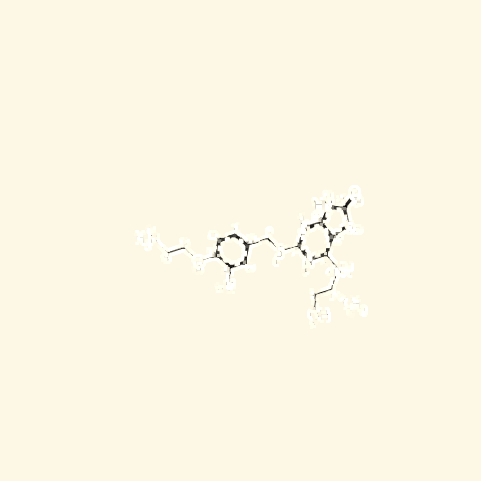 C[C@H](CO)Nc1nc(SCc2ccc(OCCN)c(Cl)c2)nc2[nH]c(=O)sc12